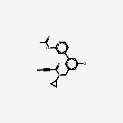 CC#CC(=O)N(Cc1cc(Cl)cc(-c2ccnc(NC(C)=O)c2)c1)C1CC1